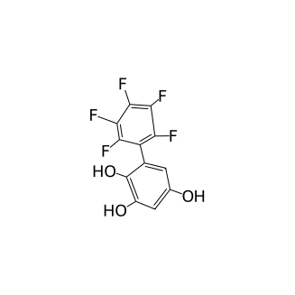 Oc1cc(O)c(O)c(-c2c(F)c(F)c(F)c(F)c2F)c1